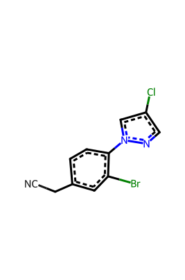 N#CCc1ccc(-n2cc(Cl)cn2)c(Br)c1